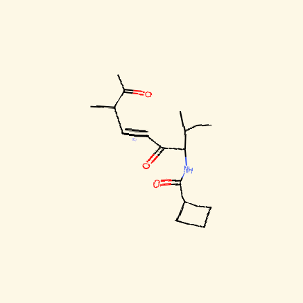 CC(=O)C(C)/C=C/C(=O)C(NC(=O)C1CCC1)C(C)C